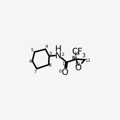 O=C(NC1CCCCC1)[C@@]1(C(F)(F)F)CO1